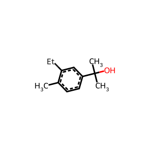 CCc1cc(C(C)(C)O)ccc1C